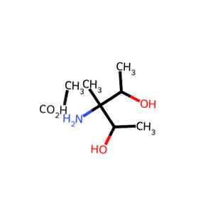 CC(=O)O.CC(O)C(C)(N)C(C)O